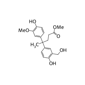 COC(=O)CCC(C)(c1ccc(O)c(CO)c1)c1ccc(O)c(OC)c1